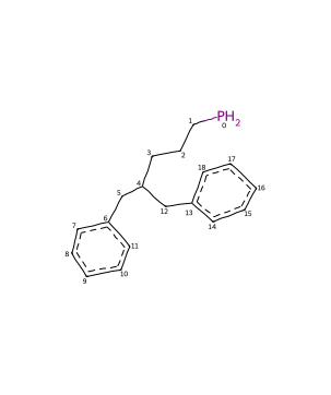 PCCCC(Cc1ccccc1)Cc1ccccc1